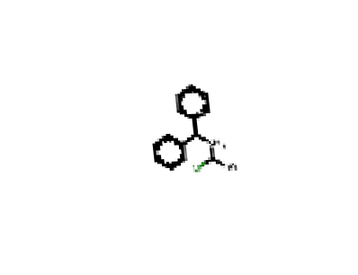 CCCC(Cl)[SiH2]C(c1ccccc1)c1ccccc1